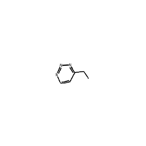 C[CH]c1ccnnn1